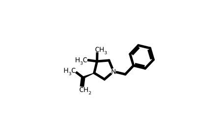 C=C(C)[C@@H]1CN(Cc2ccccc2)CC1(C)C